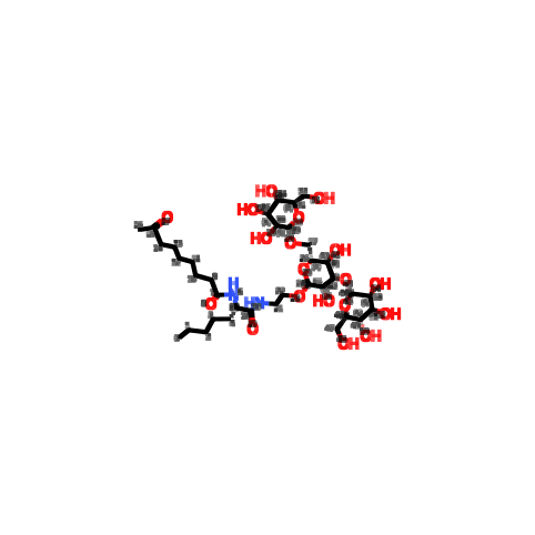 CCCCC[C@H](NC(=O)CCCCCCC(C)=O)C(=O)NCCO[C@H]1O[C@H](CO[C@H]2O[C@H](CO)[C@@H](O)[C@H](O)[C@@H]2O)[C@@H](O)[C@H](O[C@H]2O[C@H](CO)[C@@H](O)[C@H](O)[C@@H]2O)[C@@H]1O